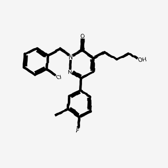 Cc1cc(-c2cc(CCCO)c(=O)n(Cc3ccccc3Cl)n2)ccc1F